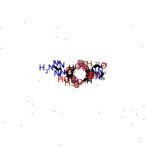 Nc1ncnc2c1ncn2[C@@H]1O[C@@H]2COP(=O)(S)O[C@H]3C(n4ccc(=O)n5ccnc45)O[C@H](COP(=O)(S)O[C@@H]2[C@H]1O)[C@H]3O